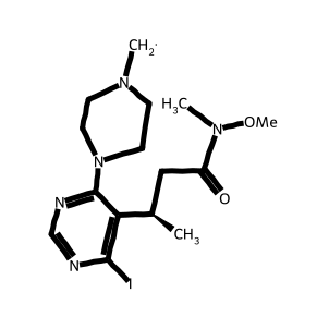 [CH2]N1CCN(c2ncnc(I)c2[C@H](C)CC(=O)N(C)OC)CC1